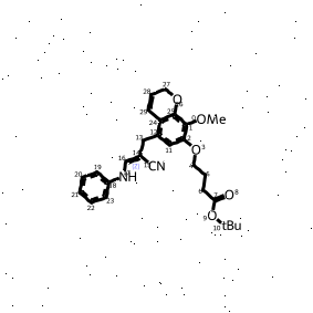 COc1c(OCCCC(=O)OC(C)(C)C)cc(C/C(C#N)=C/Nc2ccccc2)c2c1OCC=C2